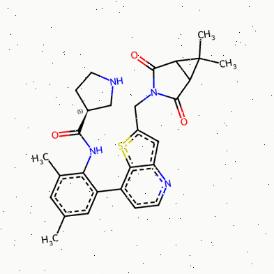 Cc1cc(C)c(NC(=O)[C@H]2CCNC2)c(-c2ccnc3cc(CN4C(=O)C5C(C4=O)C5(C)C)sc23)c1